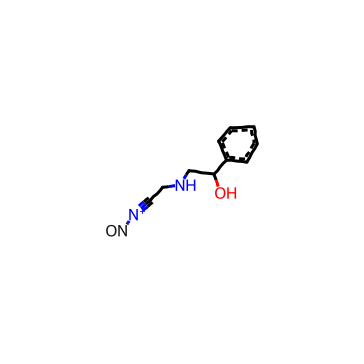 O=N[N+]#CCNCC(O)c1ccccc1